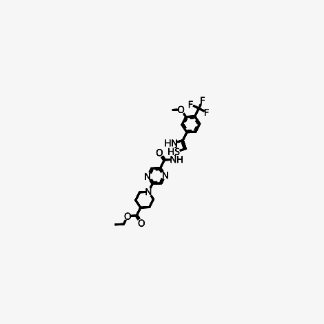 CCOC(=O)C1CCN(c2cnc(C(=O)N[SH]3C=C(c4ccc(C(F)(F)F)c(OC)c4)N3)cn2)CC1